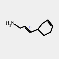 NC/C=C/C1CC=CCC1